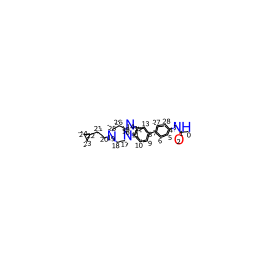 CC(=O)Nc1ccc(-c2ccc3c(c2)nc2n3CCN(CCC3CC3)CC2)cc1